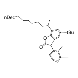 CCCCCCCCCCCCCCCCC(C)c1cc(C(C)(C)C)cc2c1OC(=O)C2c1cccc(C)c1C